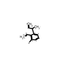 [CH2]C(C=C)c1cccc(I)c1C=C